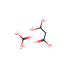 O=C(O)CC(O)O.O=C(O)O